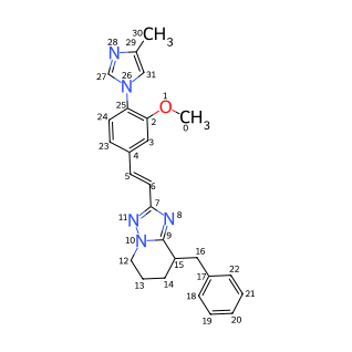 COc1cc(/C=C/c2nc3n(n2)CCCC3Cc2ccccc2)ccc1-n1cnc(C)c1